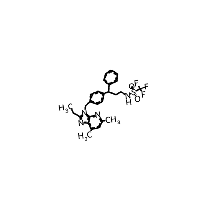 CCc1nc2c(C)cc(C)nc2n1Cc1ccc(C(CCNS(=O)(=O)C(F)(F)F)c2ccccc2)cc1